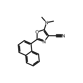 CN(C)c1oc(-c2cccc3ccccc23)nc1C#N